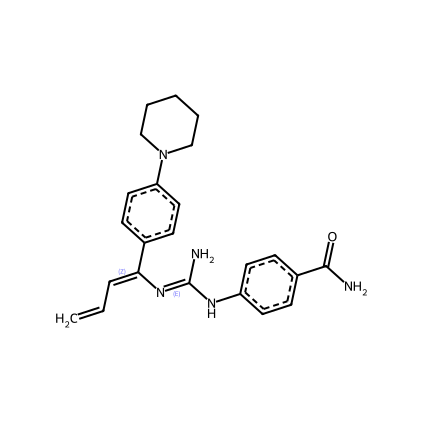 C=C/C=C(\N=C(/N)Nc1ccc(C(N)=O)cc1)c1ccc(N2CCCCC2)cc1